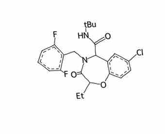 CCC1Oc2ccc(Cl)cc2C(C(=O)NC(C)(C)C)N(Cc2c(F)cccc2F)C1=O